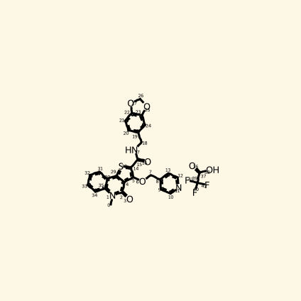 Cn1c(=O)c2c(OCc3ccncc3)c(C(=O)NCc3ccc4c(c3)OCO4)sc2c2ccccc21.O=C(O)C(F)(F)F